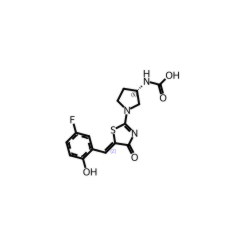 O=C(O)N[C@H]1CCN(C2=NC(=O)/C(=C/c3cc(F)ccc3O)S2)C1